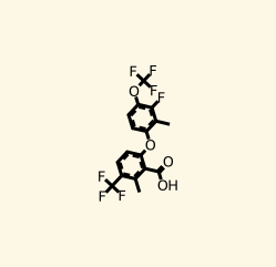 Cc1c(Oc2ccc(C(F)(F)F)c(C)c2C(=O)O)ccc(OC(F)(F)F)c1F